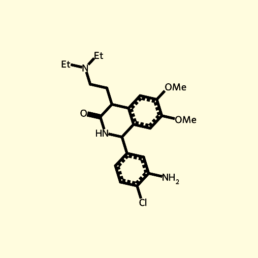 CCN(CC)CCC1C(=O)NC(c2ccc(Cl)c(N)c2)c2cc(OC)c(OC)cc21